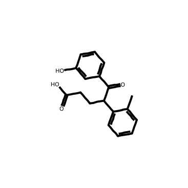 Cc1ccccc1C(CCC(=O)O)C(=O)c1cccc(O)c1